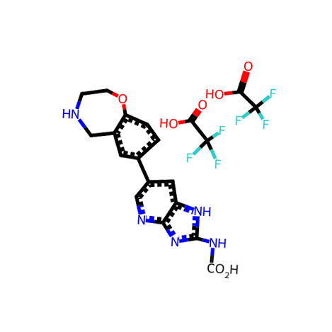 O=C(O)C(F)(F)F.O=C(O)C(F)(F)F.O=C(O)Nc1nc2ncc(-c3ccc4c(c3)CNCCO4)cc2[nH]1